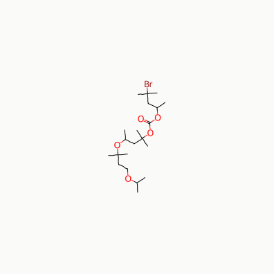 CC(C)OCCC(C)(C)OC(C)CC(C)(C)OC(=O)OC(C)CC(C)(C)Br